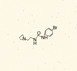 O=C(NCCN1CCC1)Nc1ccc(Br)cc1